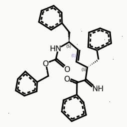 N=C(C(=O)c1ccccc1)[C@H](/C=C/[C@H](Cc1ccccc1)NC(=O)OCc1ccccc1)Cc1ccccc1